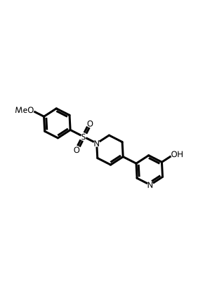 COc1ccc(S(=O)(=O)N2CC=C(c3cncc(O)c3)CC2)cc1